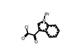 CC(C)n1cc(C(=O)C(=O)Cl)c2ccccc21